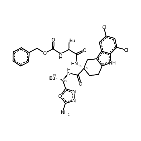 CCC(C)C(NC(=O)OCc1ccccc1)C(=O)N[C@@]1(C(=O)N[C@@H](c2nnc(N)o2)[C@@H](C)CC)CCc2[nH]c3c(Cl)cc(Cl)cc3c2C1